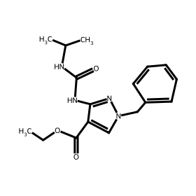 CCOC(=O)c1cn(Cc2ccccc2)nc1NC(=O)NC(C)C